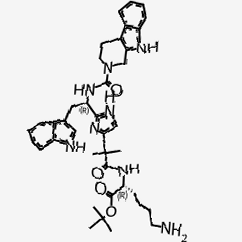 CC(C)(C)OC(=O)[C@@H](CCCCN)NC(=O)C(C)(C)c1c[nH]c([C@@H](Cc2c[nH]c3ccccc23)NC(=O)N2CCc3c([nH]c4ccccc34)C2)n1